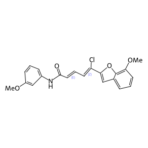 COc1cccc(NC(=O)/C=C/C=C(\Cl)c2cc3cccc(OC)c3o2)c1